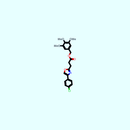 COc1cc(COC(=O)CCc2nc(-c3ccc(Cl)cc3)co2)cc(OC)c1OC